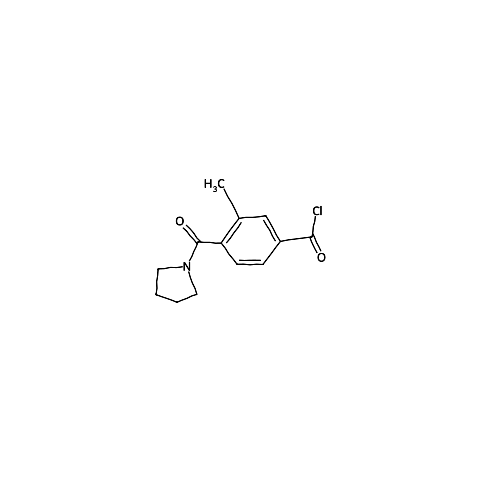 Cc1cc(C(=O)Cl)ccc1C(=O)N1CCCC1